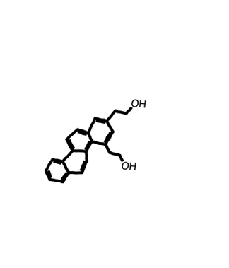 OCCc1cc(CCO)c2c(ccc3c4ccccc4ccc32)c1